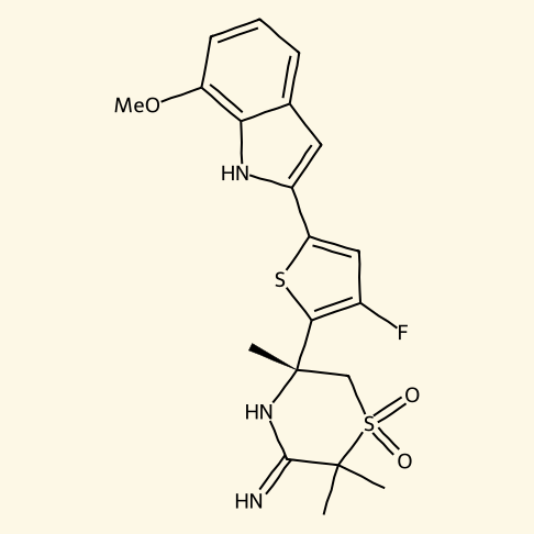 COc1cccc2cc(-c3cc(F)c([C@]4(C)CS(=O)(=O)C(C)(C)C(=N)N4)s3)[nH]c12